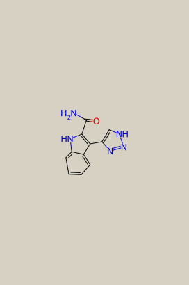 NC(=O)c1[nH]c2ccccc2c1-c1c[nH]nn1